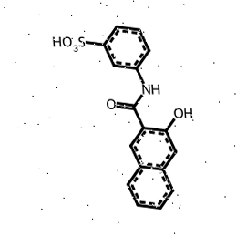 O=C(Nc1cccc(S(=O)(=O)O)c1)c1cc2ccccc2cc1O